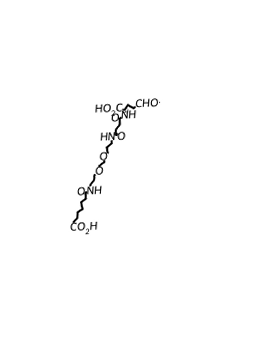 O=[C]CC[C@H](NC(=O)CCC(=O)NCCCOCCOCCCNC(=O)CCCCCCC(=O)O)C(=O)O